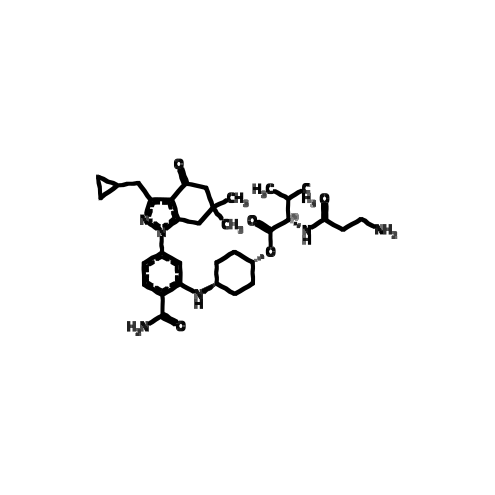 CC(C)[C@H](NC(=O)CCN)C(=O)O[C@H]1CC[C@H](Nc2cc(-n3nc(CC4CC4)c4c3CC(C)(C)CC4=O)ccc2C(N)=O)CC1